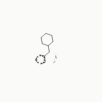 CC(C)(C)[S@+]([O-])N[C@H](c1c[nH]cn1)C1CCCCC1